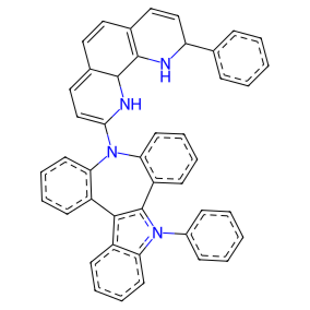 C1=CC2=C(NC(c3ccccc3)C=C2)C2NC(N3c4ccccc4-c4c(n(-c5ccccc5)c5ccccc45)-c4ccccc43)=CC=C12